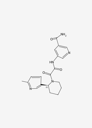 Cc1ccc([C@@H]2CCCCN2C(=O)C(=O)Nc2cncc(C(N)=O)c2)cn1